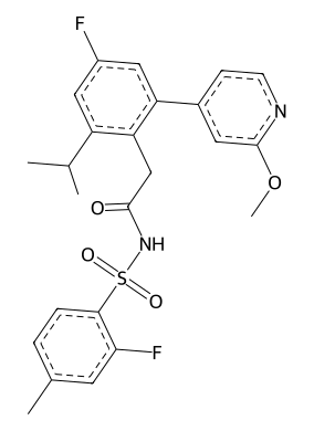 COc1cc(-c2cc(F)cc(C(C)C)c2CC(=O)NS(=O)(=O)c2ccc(C)cc2F)ccn1